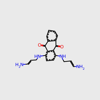 NC=CCNc1ccc(NCC=CN)c2c1C(=O)c1ccccc1C2=O